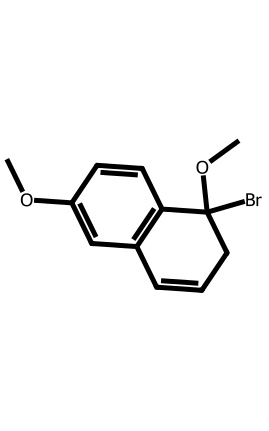 COc1ccc2c(c1)C=CCC2(Br)OC